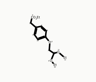 CCOC(=O)Cc1ccc(OCC(OCC)OCC)cc1